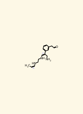 C/C=C\NCCN/C=C(\CN)c1cccc(CC=O)c1